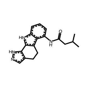 CC(C)CC(=O)Nc1cccc2[nH]c3c(c12)CCc1cn[nH]c1-3